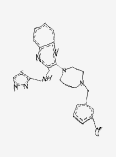 Clc1cccc(CN2CCN(c3nc4ccccc4nc3Nc3nncs3)CC2)c1